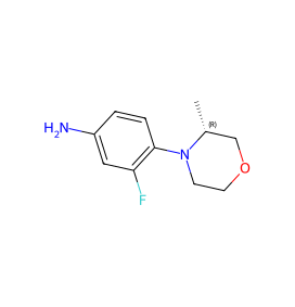 C[C@@H]1COCCN1c1ccc(N)cc1F